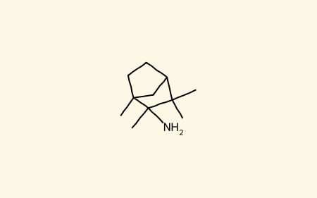 CC12CCC(C1)C(C)(C)C2(C)N